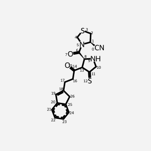 N#C[C@@H]1CSCN1C(=O)[C@H]1NCC(=S)C1C(=O)CCC1=Cc2ccccc2C1